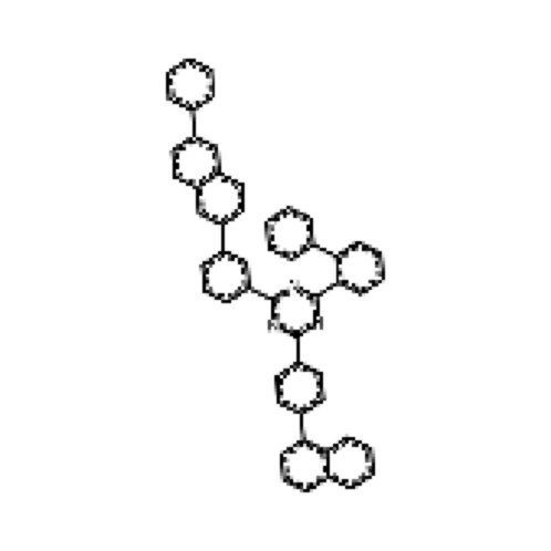 c1ccc(-c2ccc3cc(-c4cccc(-c5nc(-c6ccc(-c7cccc8ccccc78)cc6)nc(-c6ccccc6-c6ccccc6)n5)c4)ccc3c2)cc1